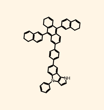 C1=Cc2cc(-c3c4c(c(-c5ccc6c(c5)CCC=C6)c5ccc(-c6ccc(-c7ccc8c(c7)c7[nH]ccc7n8-c7ccccc7)cc6)cc35)C=CCC4)ccc2CC1